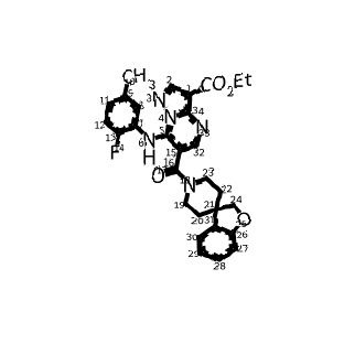 CCOC(=O)c1cnn2c(Nc3cc(C)ccc3F)c(C(=O)N3CCC4(CC3)COc3ccccc34)cnc12